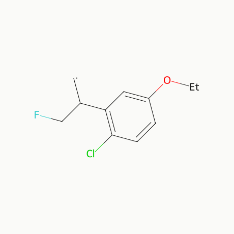 [CH2]C(CF)c1cc(OCC)ccc1Cl